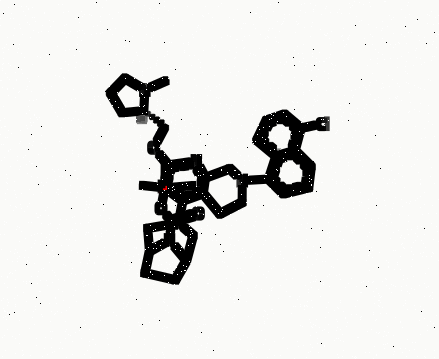 CN1CCC[C@H]1COc1nc2c(c(N3CC4CCC(C3)N4C(=O)OC(C)(C)C)n1)CCN(c1cccc3c(Cl)cccc13)C2